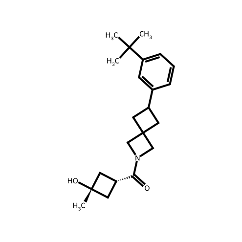 CC(C)(C)c1cccc(C2CC3(C2)CN(C(=O)[C@H]2C[C@@](C)(O)C2)C3)c1